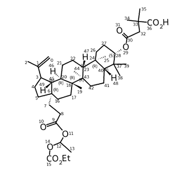 C=C(C)C1CC[C@]2(CCC(=O)OC(C)OC(=O)OCC)CC[C@]3(C)[C@H](CC[C@@H]4[C@@]5(C)CC[C@H](OC(=O)CC(C)(C)C(=O)O)C(C)(C)[C@@H]5CC[C@]43C)[C@@H]12